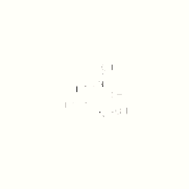 CCNO.CN(C)C